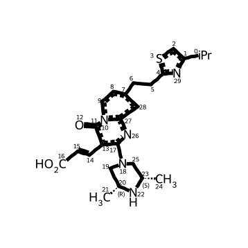 CC(C)c1csc(CCc2ccn3c(=O)c(C=CC(=O)O)c(N4C[C@@H](C)N[C@@H](C)C4)nc3c2)n1